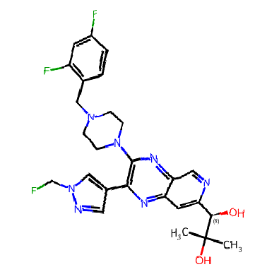 CC(C)(O)[C@H](O)c1cc2nc(-c3cnn(CF)c3)c(N3CCN(Cc4ccc(F)cc4F)CC3)nc2cn1